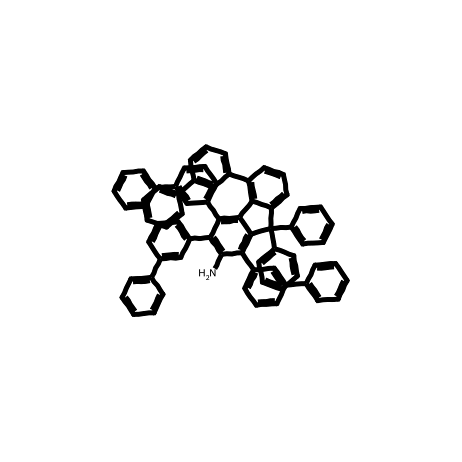 Nc1c(-c2cccc(-c3ccccc3)c2)c(-c2cccc(-c3ccccc3)c2)c2c(c1-c1cccc(-c3ccccc3)c1)C(c1ccccc1)(c1ccccc1)c1cccc(-c3cccc(-c4ccccc4)c3)c1-2